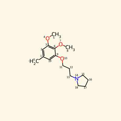 [CH2]c1cc(OC)c(OC)c(OCCCN2CCCC2)c1